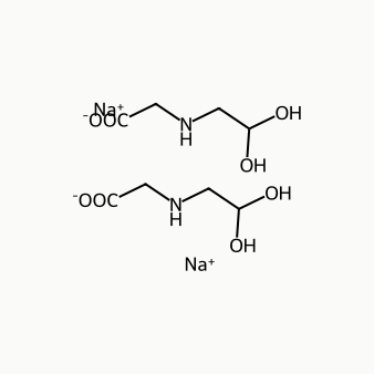 O=C([O-])CNCC(O)O.O=C([O-])CNCC(O)O.[Na+].[Na+]